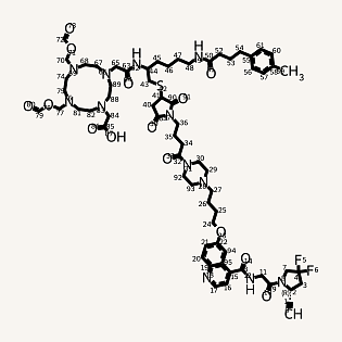 C#C[C@H]1CC(F)(F)CN1C(=O)CNC(=O)c1ccnc2ccc(OCCCCN3CCN(C(=O)CCCN4C(=O)CC(SCC(CCCCNC(=O)CCCc5ccc(C)cc5)NC(=O)CN5CCN(COC=O)CCN(COC=O)CCN(CC(=O)O)CC5)C4=O)CC3)cc12